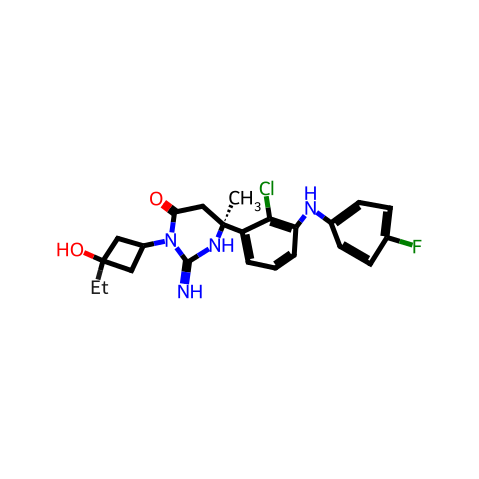 CCC1(O)CC(N2C(=N)N[C@](C)(c3cccc(Nc4ccc(F)cc4)c3Cl)CC2=O)C1